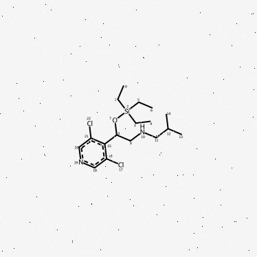 CC[Si](CC)(CC)OC(CNCC(C)C)c1c(Cl)cncc1Cl